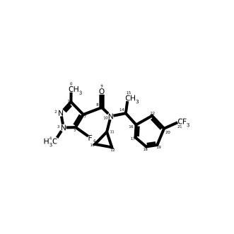 Cc1nn(C)c(F)c1C(=O)N(C1CC1)C(C)c1cccc(C(F)(F)F)c1